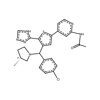 CC(=O)Nc1cc(-c2cc(C(c3ccc(Cl)cc3)N3CC[C@@H](C)C3)c(-c3nnc[nH]3)s2)ccn1